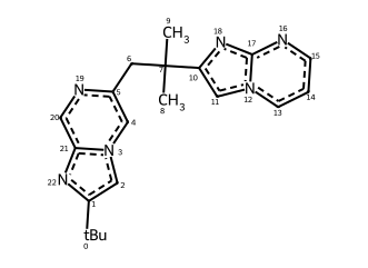 CC(C)(C)c1cn2cc(CC(C)(C)c3cn4cccnc4n3)ncc2n1